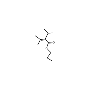 CCCOC(=O)C(=C(C)C)C(C)C